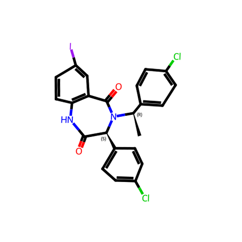 C[C@H](c1ccc(Cl)cc1)N1C(=O)c2cc(I)ccc2NC(=O)[C@@H]1c1ccc(Cl)cc1